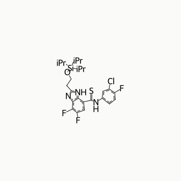 CC(C)[Si](OCCc1nc2c(F)c(F)cc(C(=S)Nc3ccc(F)c(Cl)c3)c2[nH]1)(C(C)C)C(C)C